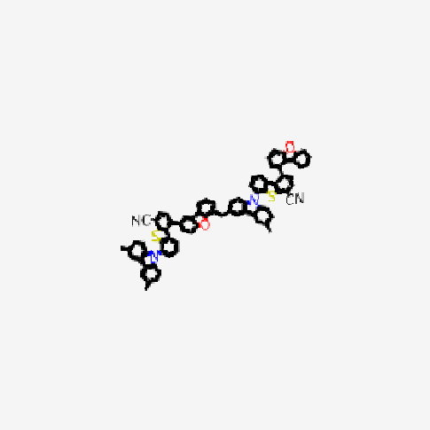 Cc1ccc2c(c1)c1cc(C)ccc1n2-c1cccc2c1sc1c(C#N)ccc(-c3ccc4oc5c(Cc6ccc7c(c6)c6cc(C)ccc6n7-c6cccc7c6sc6c(C#N)ccc(-c8cccc9oc%10ccccc%10c89)c67)cccc5c4c3)c12